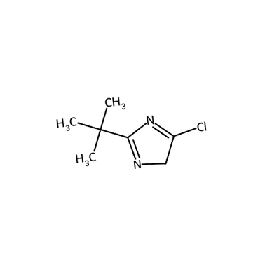 CC(C)(C)C1=NCC(Cl)=N1